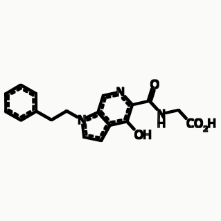 O=C(O)CNC(=O)c1ncc2c(ccn2CCc2ccccc2)c1O